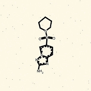 Nc1nc2ccc(S(=O)(=O)N3CCCCC3)cn2n1